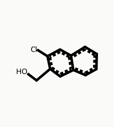 OCc1cc2ccccc2cc1Cl